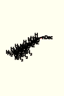 CCCCCCCCCCCCCCCC(=O)N[C@@H](C)CN(CC(=O)N[C@@H](C)CN(CC(=O)N[C@@H](CCCCN)CN(CC(=O)N[C@@H](CCCCN)CN(CC(=O)N[C@@H](CCCCN)CN(CC(N)=O)C(=O)CCCN)C(=O)CCCN)C(=O)CCCN)C(C)=O)C(C)=O